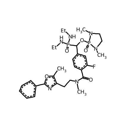 CCNP(=O)(NCC)C(OP1(=O)N(C)CCN1C)c1ccc(C(=O)N(C)CCc2nc(-c3ccccc3)oc2C)c(F)c1